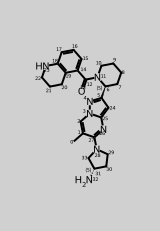 Cc1cn2nc([C@@H]3CCCCN3C(=O)c3cccc4c3CCCN4)cc2nc1N1CC[C@H](N)C1